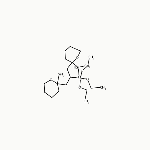 CCO[Si](OCC)(OCC)C(CC1([SiH3])CCCCO1)CC1([SiH](C)C)CCCCO1